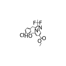 CCOC(=O)c1cc(CO)n2c(Cc3ccc(Cl)cc3)c(C(C)(F)F)nc2c1